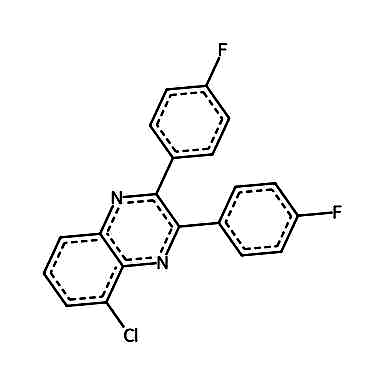 Fc1ccc(-c2nc3cccc(Cl)c3nc2-c2ccc(F)cc2)cc1